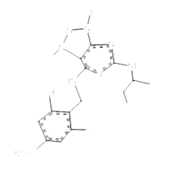 CCC(CO)Nc1nc(NCc2c(O)cc(OC)cc2O)c2c(n1)N(C(C)C)NN2C(C)C